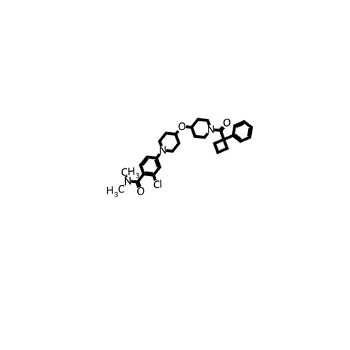 CN(C)C(=O)c1ccc(N2CCC(OC3CCN(C(=O)C4(c5ccccc5)CCC4)CC3)CC2)cc1Cl